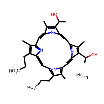 CC1=C(CCC(=O)O)c2cc3[nH]c(cc4nc(cc5[nH]c(cc1n2)c(C)c5C(C)O)C(C)=C4C(C)O)c(C)c3CCC(=O)O.[Hg].[NaH]